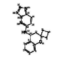 c1ccc2c(c1)OC1(CCC1)CC2Nc1ccc2nnnn2n1